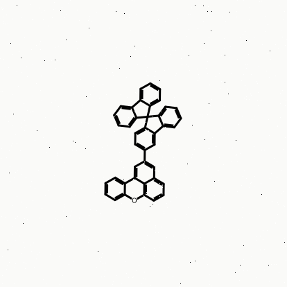 c1ccc2c(c1)Oc1cccc3cc(-c4ccc5c(c4)-c4ccccc4C54c5ccccc5-c5ccccc54)cc-2c13